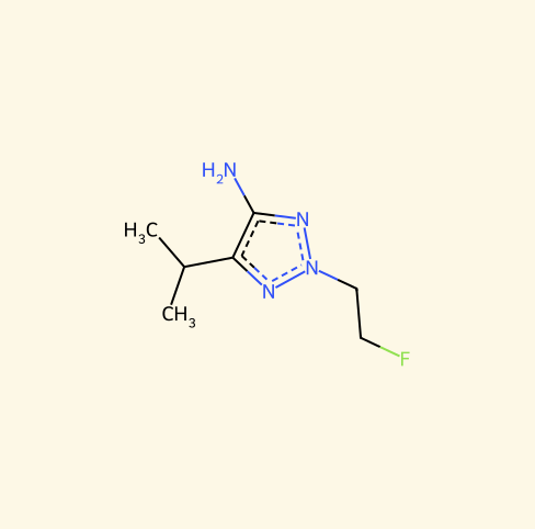 CC(C)c1nn(CCF)nc1N